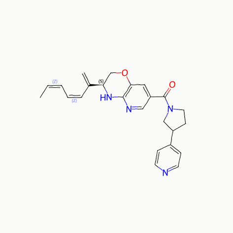 C=C(/C=C\C=C/C)[C@H]1COc2cc(C(=O)N3CCC(c4ccncc4)C3)cnc2N1